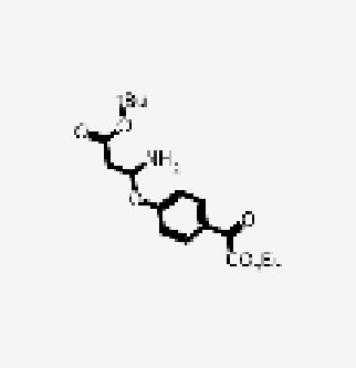 CCOC(=O)C(=O)c1ccc(OC(N)CC(=O)OC(C)(C)C)cc1